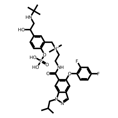 CC(C)Cn1ncc2cc(Oc3ccc(F)cc3F)c(C(=O)NCC[N+](C)(C)Cc3cc(C(O)CNC(C)(C)C)ccc3OP(=O)(O)O)cc21